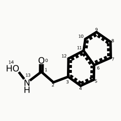 O=C(Cc1ccc2ccccc2c1)NO